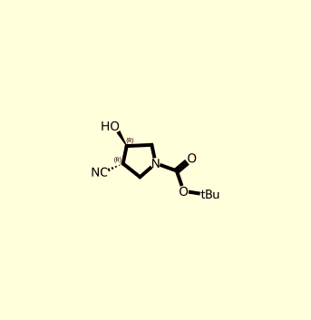 CC(C)(C)OC(=O)N1C[C@H](O)[C@@H](C#N)C1